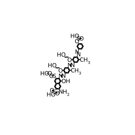 Cc1cc(N=Nc2cc(OCCO)c(N=Nc3c(SOOO)cc4cc(S(=O)(=O)O)c(N)cc4c3O)cc2C)c(OCCO)cc1N=Nc1cccc(OS(=O)O)c1